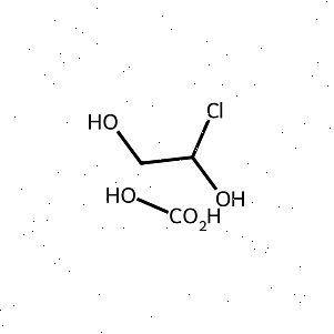 O=C(O)O.OCC(O)Cl